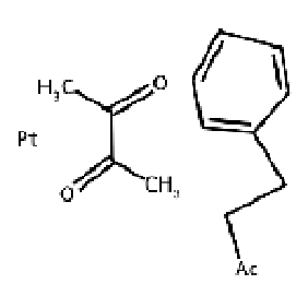 CC(=O)C(C)=O.CC(=O)CCc1ccccc1.[Pt]